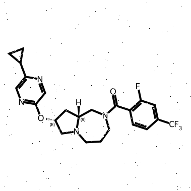 O=C(c1ccc(C(F)(F)F)cc1F)N1CCCN2C[C@H](Oc3cnc(C4CC4)cn3)C[C@@H]2C1